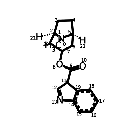 CN1[C@@H]2CC[C@H]1CC(OC(=O)C1C=Nc3ccccc31)C2